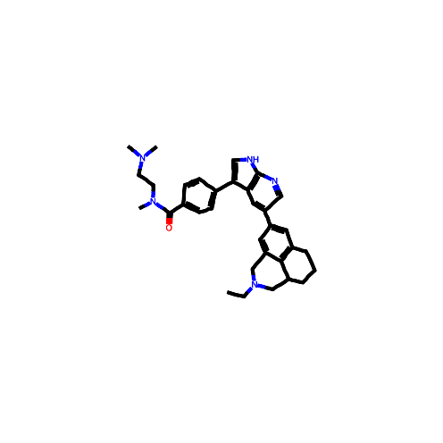 CCN1Cc2cc(-c3cnc4[nH]cc(-c5ccc(C(=O)N(C)CCN(C)C)cc5)c4c3)cc3c2C(CCC3)C1